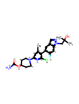 CC(C)(O)Cn1ncc2cc(-c3c(C#N)cc(N4CCC(OC(N)=O)CC4)nc3Cl)c(F)cc21